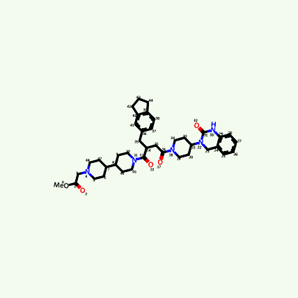 COC(=O)CN1CCC(C2CCN(C(=O)C(CC(=O)N3CCC(N4Cc5ccccc5NC4=O)CC3)Cc3ccc4c(c3)CCC4)CC2)CC1